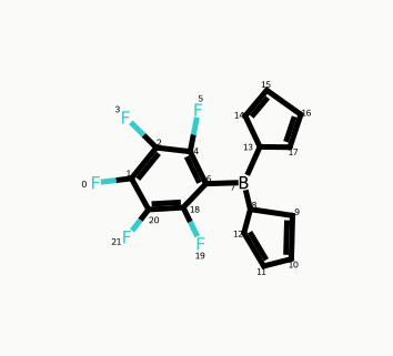 Fc1c(F)c(F)c(B(C2C=CC=C2)C2C=CC=C2)c(F)c1F